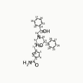 NC(=O)c1ccc(CCCN(C[C@H](O)c2ccccc2)C[C@H](O)c2ccccc2)s1